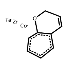 C1=Cc2ccccc2OC1.[Co].[Ta].[Zr]